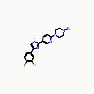 CCN1CCN(c2ccc(-c3nc(-c4ccc(F)c(Cl)c4)c[nH]3)cn2)CC1